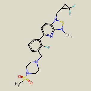 CN1SN(CC2CC2(F)F)c2ccc(-c3cccc(CN4CCN(S(C)(=O)=O)CC4)c3F)nc21